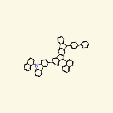 c1ccc(-c2ccc(C3c4ccccc4-c4cc5c(cc43)C(c3cccc4ccccc34)c3ccc(-c4ccc6c(c4)c4ccccc4n6-c4cccc6ccccc46)cc3-5)cc2)cc1